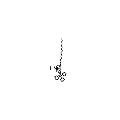 CCCCCCCCCCCCCCCCSCC(COC(c1ccccc1)(c1ccccc1)c1ccccc1)OC(=O)NC